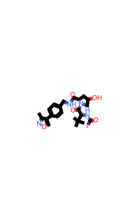 Cc1nocc1-c1ccc(CNC(=O)C2CC(O)CN2C(=O)C(NC(=O)I)C(C)(C)C)cc1